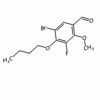 CCCCOc1c(Br)cc(C=O)c(OC)c1F